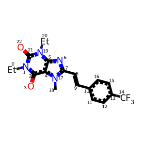 CCn1c(=O)c2c(nc(C=Cc3ccc(C(F)(F)F)cc3)n2C)n(CC)c1=O